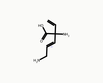 C=CC(N)(/C=C/CN)C(=O)O